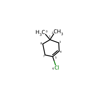 CC1(C)CC=C(Cl)CC1